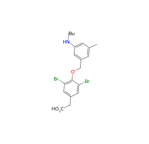 CCC(C)Nc1cc(C)cc(COc2c(Br)cc(CC(=O)O)cc2Br)c1